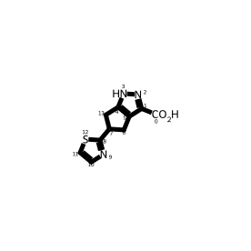 O=C(O)c1n[nH]c2c1CC(c1nccs1)C2